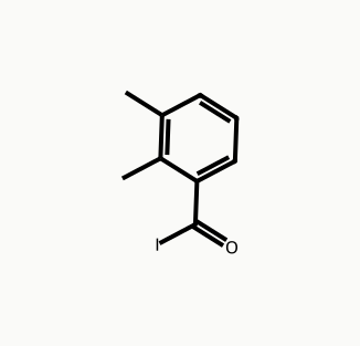 Cc1cccc(C(=O)I)c1C